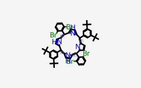 CC(C)(C)c1cc(/C2=C3\C=CC(=N3)/C(c3c(Br)cccc3Br)=c3/cc/c([nH]3)=C(\c3cc(C(C)(C)C)cc(C(C)(C)C)c3)C3C=C/C(=C(\c4c(Br)cccc4Br)c4ccc2[nH]4)N3)cc(C(C)(C)C)c1